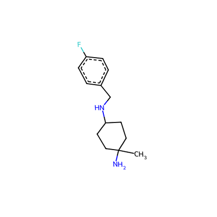 CC1(N)CCC(NCc2ccc(F)cc2)CC1